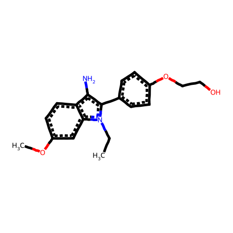 CCn1c(-c2ccc(OCCO)cc2)c(N)c2ccc(OC)cc21